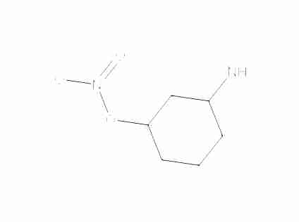 NC1CCCC(O[N+](=O)[O-])C1